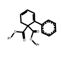 CC(C)OC(=O)C1(C(=O)OC(C)C)CC=CC=C1c1ccccc1